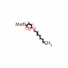 C=CCCC/C=C/COC(=O)/C=C\C(=O)OC